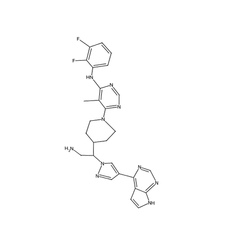 Cc1c(Nc2cccc(F)c2F)ncnc1N1CCC(C(CN)n2cc(-c3ncnc4[nH]ccc34)cn2)CC1